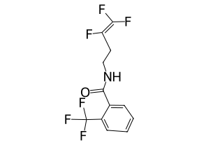 O=C(NCCC(F)=C(F)F)c1ccccc1C(F)(F)F